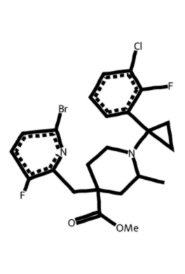 COC(=O)C1(Cc2nc(Br)ccc2F)CCN(C2(c3cccc(Cl)c3F)CC2)C(C)C1